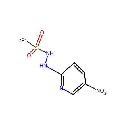 CCCS(=O)(=O)NNc1ccc([N+](=O)[O-])cn1